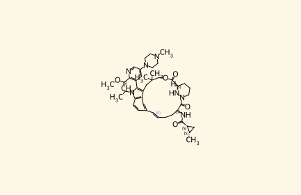 CCn1c(-c2cc(N3CCN(C)CC3)cnc2[C@H](C)OC)c2c3cc(ccc31)/C=C/CC[C@H](NC(=O)[C@H]1C[C@@H]1C)C(=O)N1CCC[C@H](N1)C(=O)OCC(C)(C)C2